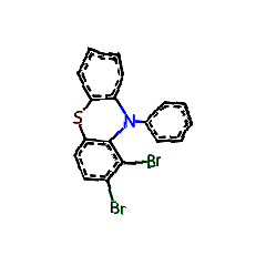 Brc1ccc2c(c1Br)N(c1ccccc1)c1ccccc1S2